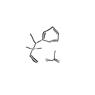 C=C[N+](C)(C)C(C)c1ccccc1.CC(=O)[O-]